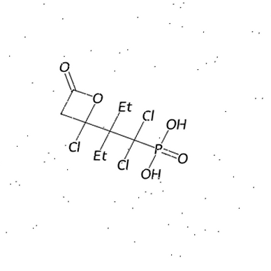 CCC(CC)(C1(Cl)CC(=O)O1)C(Cl)(Cl)P(=O)(O)O